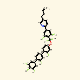 C=CCCc1ccc(-c2cc(F)c(C(F)(F)Oc3ccc(-c4ccc(-c5cc(F)c(F)c(F)c5)c(F)c4)c(F)c3)c(F)c2)nc1